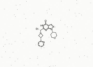 CC[C@H](c1nc2c(cnn2C2CCOCC2)c(=O)[nH]1)N1CC(c2ccccn2)C1